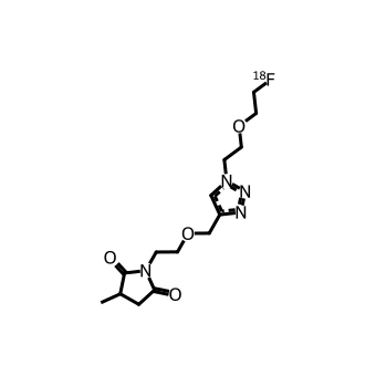 CC1CC(=O)N(CCOCc2cn(CCOCC[18F])nn2)C1=O